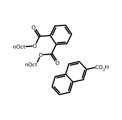 CCCCCCCCOC(=O)c1ccccc1C(=O)OCCCCCCCC.O=C(O)c1ccc2ccccc2c1